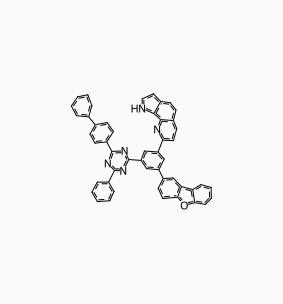 c1ccc(-c2ccc(-c3nc(-c4ccccc4)nc(-c4cc(-c5ccc6oc7ccccc7c6c5)cc(-c5ccc6ccc7cc[nH]c7c6n5)c4)n3)cc2)cc1